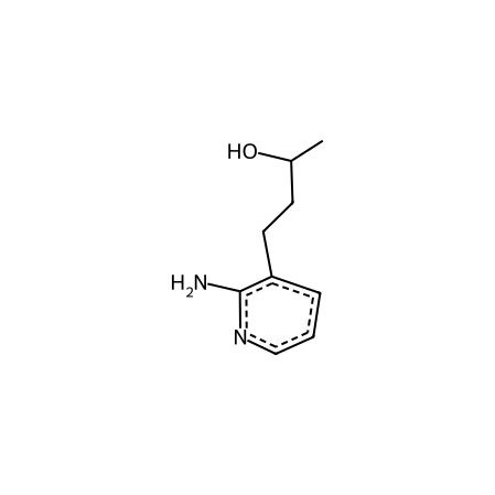 CC(O)CCc1cccnc1N